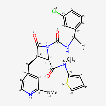 CCC(NC(=O)N1C(=O)[C@H](Cc2ccnc(NC)c2)[C@H]1C(=O)N(C)c1cccs1)c1cccc(Cl)c1